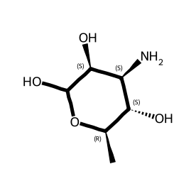 C[C@H]1OC(O)[C@@H](O)[C@@H](N)[C@@H]1O